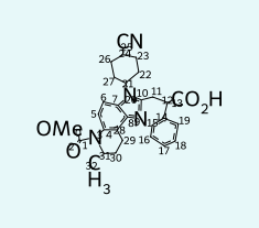 COC(=O)N1c2ccc3c(nc(CC(C(=O)O)c4ccccc4)n3C3CCC(C#N)CC3)c2CC[C@@H]1C